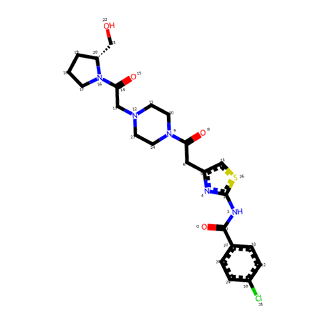 O=C(Nc1nc(CC(=O)N2CCN(CC(=O)N3CCC[C@@H]3CO)CC2)cs1)c1ccc(Cl)cc1